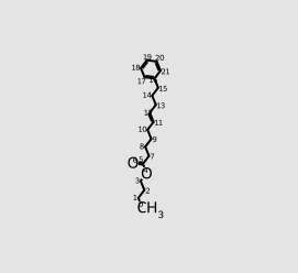 CCCCOC(=O)CCCC/C=C/CCCc1ccccc1